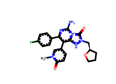 Cn1cc(-c2c(-c3ccc(F)cc3)nc(N)[n+]3c(=O)n(C[C@H]4CCCO4)[nH]c23)ccc1=O